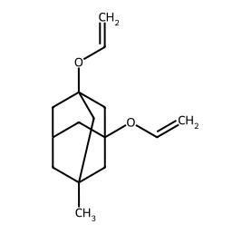 C=COC12CC3CC(C)(C1)CC(OC=C)(C3)C2